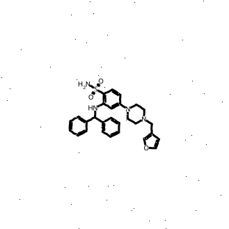 NS(=O)(=O)c1ccc(N2CCN(Cc3ccoc3)CC2)cc1NC(c1ccccc1)c1ccccc1